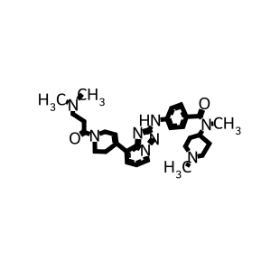 CN(C)CCC(=O)N1CC=C(c2cccn3nc(Nc4ccc(C(=O)N(C)C5CCN(C)CC5)cc4)nc23)CC1